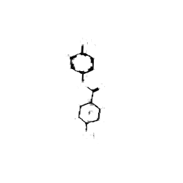 Cc1ccc(OC(=O)C23CCC(C)(CC2)CC3)cc1